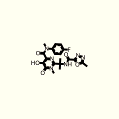 Cc1nnc(C(=O)NC(C)(C)c2nc(C(=O)N(C)c3ccc(F)cc3)c(O)c(=O)n2C)o1